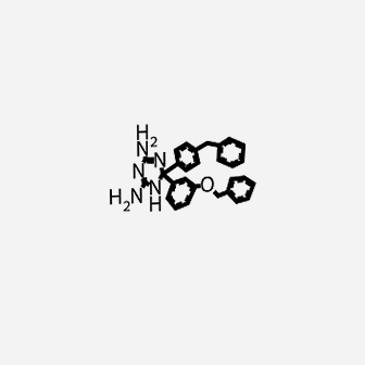 NC1=NC(c2ccc(Cc3ccccc3)cc2)(c2cccc(OCc3ccccc3)c2)NC(N)=N1